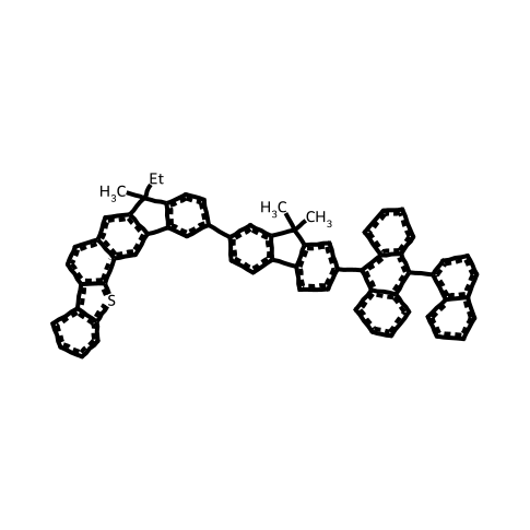 CCC1(C)c2ccc(-c3ccc4c(c3)C(C)(C)c3cc(-c5c6ccccc6c(-c6cccc7ccccc67)c6ccccc56)ccc3-4)cc2-c2cc3c(ccc4c5ccccc5sc34)cc21